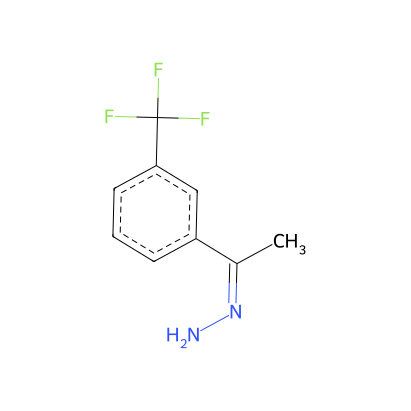 C/C(=N/N)c1cccc(C(F)(F)F)c1